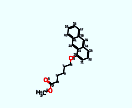 COC(=O)CCCCCOc1cccc2cc3ccccc3cc12